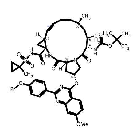 COc1ccc2c(O[C@@H]3C[C@H]4C(=O)N[C@]5(C(=O)NS(=O)(=O)C6(C)CC6)C[C@H]5/C=C\CC[C@@H](C)C[C@@H](C)[C@H](NC(=O)OC(C)(C)C(F)(F)F)C(=O)N4C3)nc(-c3ccc(OC(C)C)cc3)nc2c1